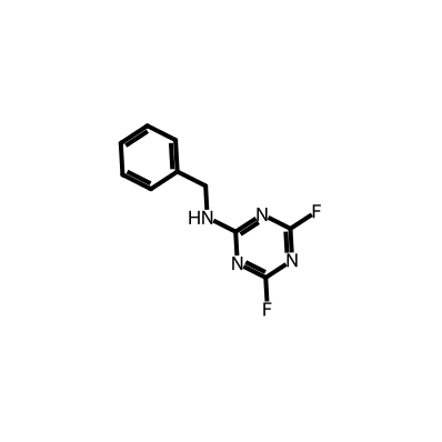 Fc1nc(F)nc(NCc2ccccc2)n1